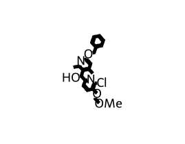 COCOc1ccc(C(O)c2c(C)cc(OCc3ccccc3)nc2C)nc1Cl